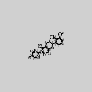 COc1cccc(C2CCc3c(cnn(-c4ncc(C)cn4)c3=O)C2)c1Cl